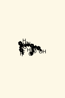 O=C(Nc1nn(Cc2ccc(CO)cc2)c2ccc(-c3cc(C(=O)Nc4nn(Cc5ccc(C(F)(F)F)cc5)c5ccccc45)on3)cc12)c1ccoc1